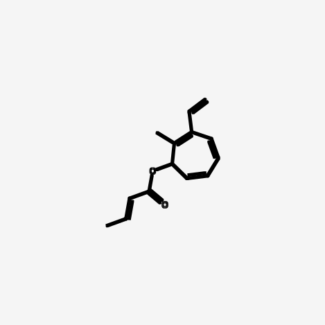 C=CC1=C(C)C(OC(=O)/C=C/C)C=CC=C1